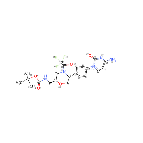 CC(C)(C)OC(=O)NC[C@H]1CN(C(=O)C(F)(F)F)C(c2ccc(-n3ccc(N)nc3=O)cc2)CO1